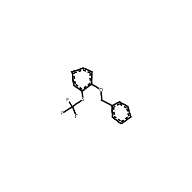 FC(F)(F)Sc1c[c]ccc1OCc1ccccc1